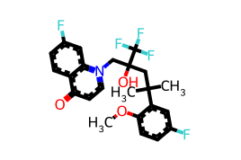 COc1ccc(F)cc1C(C)(C)CC(O)(Cn1ccc(=O)c2ccc(F)cc21)C(F)(F)F